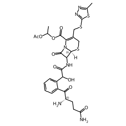 CC(=O)OC(C)OC(=O)C1=C(CSc2nnc(C)s2)CS[C@H]2C(NC(=O)C(O)c3ccccc3C(=O)[C@@H](N)CCC(N)=O)C(=O)N12